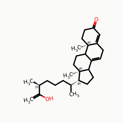 C=C(O)[C@@H](C)CCCC(C)[C@H]1CCC2C3=CCC4=CC(=O)CC[C@]4(C)C3CC[C@@]21C